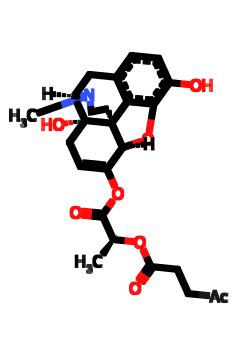 CC(=O)CCC(=O)O[C@@H](C)C(=O)OC1=CC[C@@]2(O)[C@H]3Cc4ccc(O)c5c4[C@@]2(CCN3C)[C@H]1O5